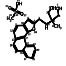 CC(CO)(CO)NCc1cc2ccc3ccc4ccccc4c3c2o1.CS(=O)(=O)O